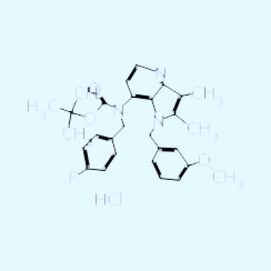 COc1cccc(Cn2c(C)c(C)c3nccc(N(Cc4ccc(F)cc4)C(=O)OC(C)(C)C)c32)c1.Cl